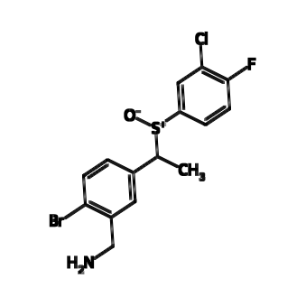 CC(c1ccc(Br)c(CN)c1)[S+]([O-])c1ccc(F)c(Cl)c1